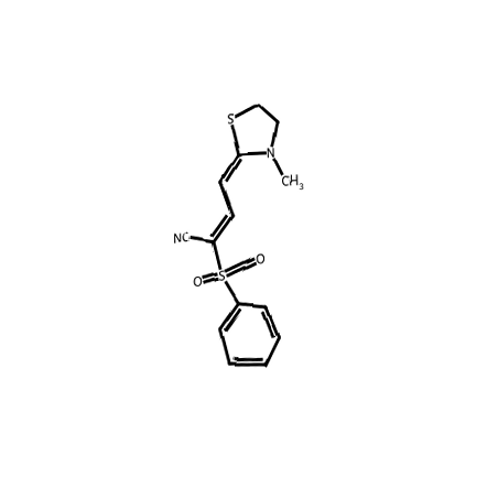 CN1CCSC1=CC=C(C#N)S(=O)(=O)c1ccccc1